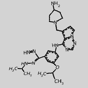 CC(C)N/N=C(\N=N)c1cc(Nc2ncnn3ccc(CN4CCC(N)CC4)c23)cc(OC(C)C)c1